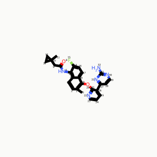 Cc1ccc2c(NC(=O)CC3(C)CC3)c(F)ccc2c1Oc1ncccc1-c1ccnc(N)n1